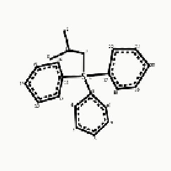 CC(C)CS(c1ccccc1)(c1ccccc1)c1ccccc1